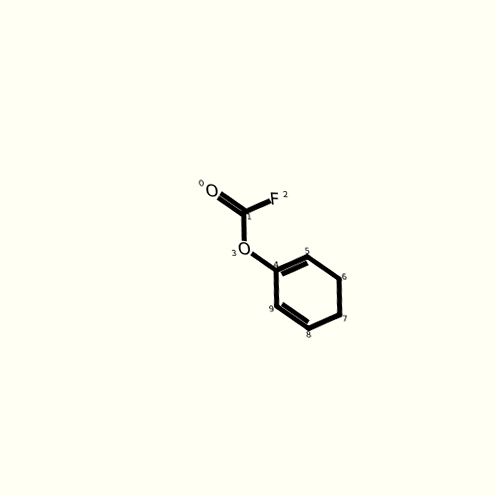 O=C(F)OC1=CCCC=C1